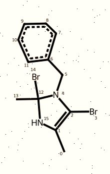 CC1=C(Br)N(Cc2ccccc2)C(C)(Br)N1